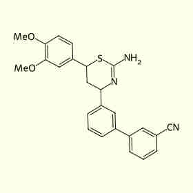 COc1ccc(C2CC(c3cccc(-c4cccc(C#N)c4)c3)N=C(N)S2)cc1OC